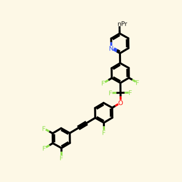 CCCc1ccc(-c2cc(F)c(C(F)(F)Oc3ccc(C#Cc4cc(F)c(F)c(F)c4)c(F)c3)c(F)c2)nc1